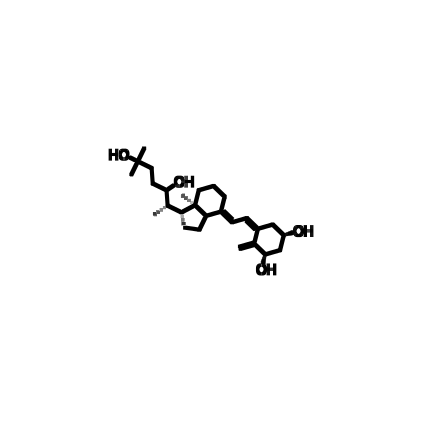 C=C1/C(=C\C=C2CCC[C@@]3(C)C2CC[C@@H]3[C@H](C)C(O)CCC(C)(C)O)C[C@@H](O)C[C@H]1O